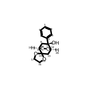 O[C@]1(c2ccccc2)C[C@H]2CC[C@@H]1CC21OCCO1